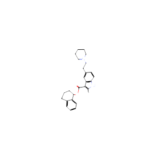 Cc1[nH]c2ccc(CCN3CCCCC3)cc2c1C(=O)OC1CCCc2ccccc21